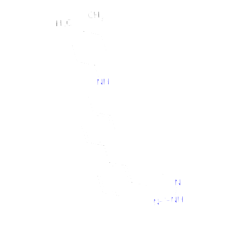 CC1(C)CCC(NCc2ccc(-c3cccc(-c4cn[nH]n4)c3)cc2)CC1